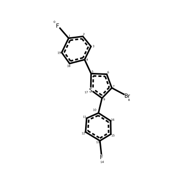 Fc1ccc(-c2cc(Br)c(-c3ccc(F)cc3)s2)cc1